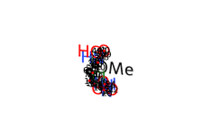 COc1cc(-c2cccc(-c3cccc(NC(=O)c4cn(C)c(=O)n(C)c4=O)c3Cl)c2C)cc(F)c1CN[C@@H]1CCOC[C@@H]1O